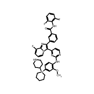 COc1cc([N+]2(C3CCNCC3)CCCCC2)ccc1Nc1nccc(-c2c(-c3cccc(C(=O)Nc4c(F)cccc4F)c3)nc3c(F)cccn23)n1